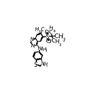 Cc1cc2ncnc(Nc3ccc4c(c3)NCS4)c2cc1S(=O)(=O)C(C)(C)C